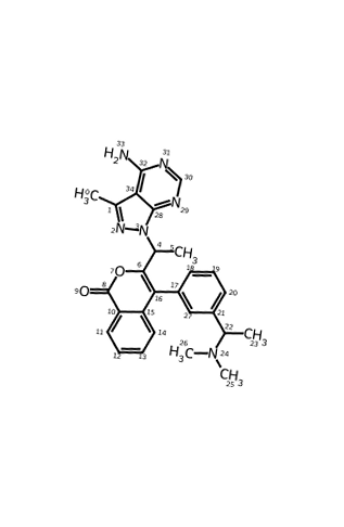 Cc1nn(C(C)c2oc(=O)c3ccccc3c2-c2cccc(C(C)N(C)C)c2)c2ncnc(N)c12